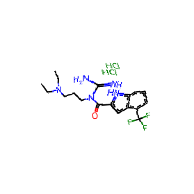 CCN(CC)CCCN(C(=N)N)C(=O)c1cc2c(C(F)(F)F)cccc2[nH]1.Cl.Cl